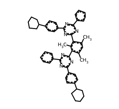 Cc1cc(C)c(-c2nc(-c3ccccc3)nc(-c3ccc(C4CCCCC4)cc3)n2)c(C)c1-c1nc(-c2ccccc2)nc(-c2ccc(C3CCCCC3)cc2)n1